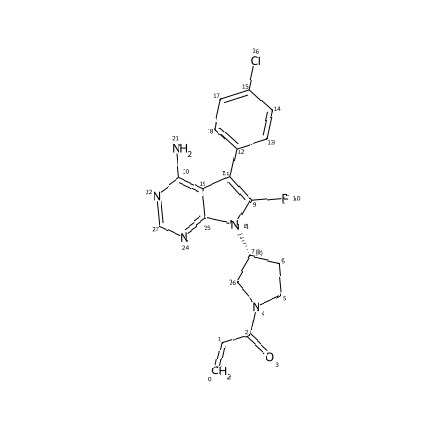 C=CC(=O)N1CC[C@@H](n2c(F)c(-c3ccc(Cl)cc3)c3c(N)ncnc32)C1